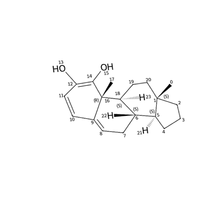 C[C@@]12CCC[C@H]1[C@@H]1CC=C3C=CC(O)=C(O)[C@]3(C)[C@H]1CC2